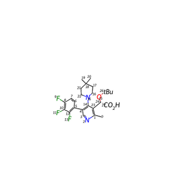 Cc1ncc(-c2ccc(F)c(F)c2F)c(N2CCC(C)(C)CC2)c1[C@H](OC(C)(C)C)C(=O)O